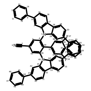 N#Cc1cc(-n2c3cc(-c4ccccc4)ccc3c3ccc(-c4ccccc4)cc32)c(-c2cc(F)cc(F)c2)c(-n2c3cc(-c4ccccc4)ccc3c3ccc(-c4ccccc4)cc32)c1